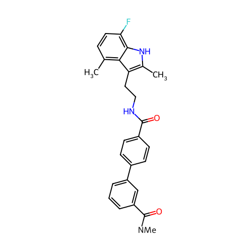 CNC(=O)c1cccc(-c2ccc(C(=O)NCCc3c(C)[nH]c4c(F)ccc(C)c34)cc2)c1